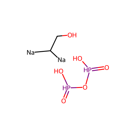 O=[PH](O)O[PH](=O)O.OC[CH]([Na])[Na]